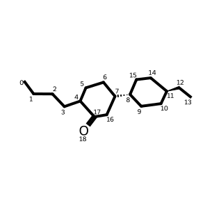 CCCCC1CCC([C@H]2CC[C@H](CC)CC2)CC1=O